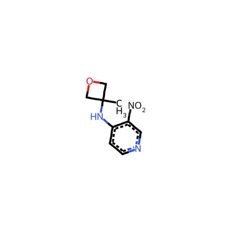 CC1(Nc2ccncc2[N+](=O)[O-])COC1